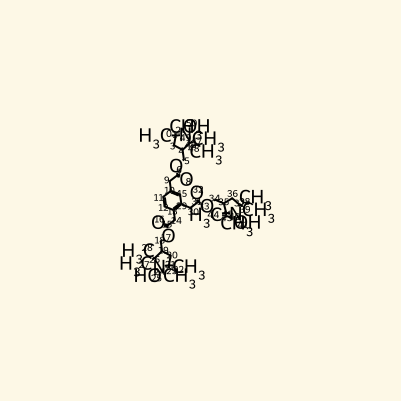 CC1(C)CC(COC(=O)Cc2ccc(CC(=O)OCC3CC(C)(C)N(O)C3(C)C)c(CC(=O)OCC3CC(C)(C)N(O)C3(C)C)c2)C(C)(C)N1O